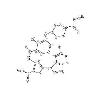 COC(=O)c1sc(-n2cnc3ccc(Br)cc32)cc1OC(C)c1cccc(OC2CCN(C(=O)OC(C)(C)C)CC2)c1Cl